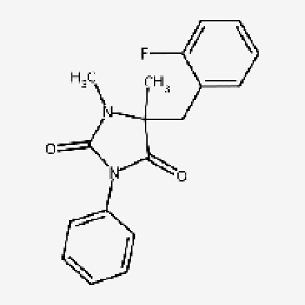 CN1C(=O)N(c2ccccc2)C(=O)C1(C)Cc1ccccc1F